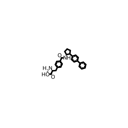 N[C@@H](Cc1ccc(C(=O)N[C@H]2CCCC2c2ccc(-c3ccccc3)cc2)cc1)C(=O)O